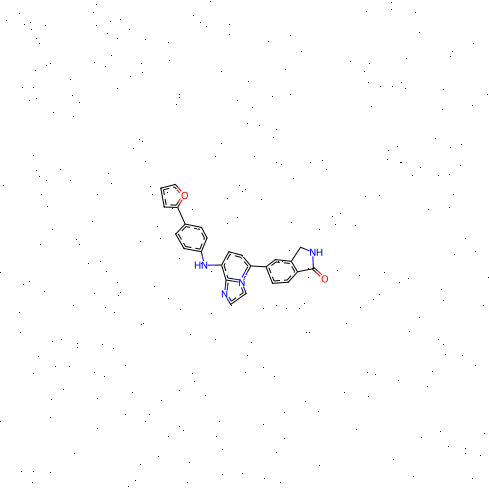 O=C1NCc2cc(-c3ccc(Nc4ccc(-c5ccco5)cc4)c4nccn34)ccc21